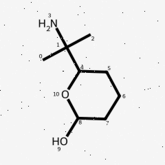 CC(C)(N)C1CCCC(O)O1